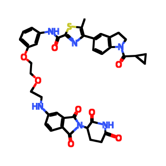 Cc1sc(C(=O)Nc2cccc(OCCOCCNc3ccc4c(c3)C(=O)N(C3CCC(=O)NC3=O)C4=O)c2)nc1-c1ccc2c(c1)CCN2C(=O)C1CC1